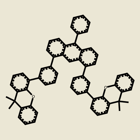 CC1(C)c2ccccc2Oc2c(-c3cccc(-c4cccc5c(-c6ccccc6)c6cccc(-c7cccc(-c8cccc9c8Oc8ccccc8C9(C)C)c7)c6cc45)c3)cccc21